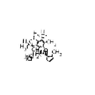 Cl.Cl.[CH2]=[Ti]([O]c1c(C)c(C)c(C)c(C(C)(C)C)c1[SiH3])[C]1=C(C)C=CC1